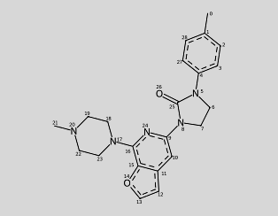 Cc1ccc(N2CCN(c3cc4ccoc4c(N4CCN(C)CC4)n3)C2=O)cc1